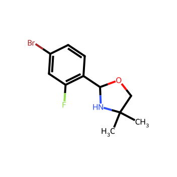 CC1(C)COC(c2ccc(Br)cc2F)N1